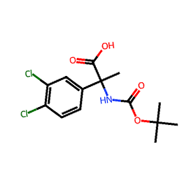 CC(C)(C)OC(=O)NC(C)(C(=O)O)c1ccc(Cl)c(Cl)c1